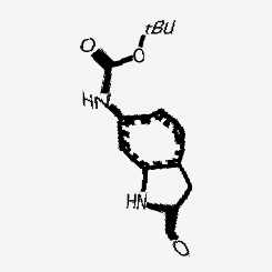 CC(C)(C)OC(=O)Nc1ccc2c(c1)NC(=O)C2